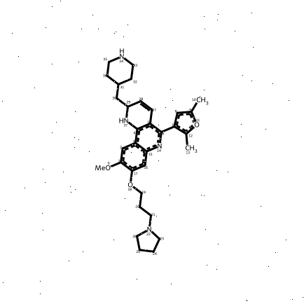 COc1cc2c3c(c(-c4cc(C)oc4C)nc2cc1OCCCN1CCCC1)C=CC(CC1CCNCC1)N3